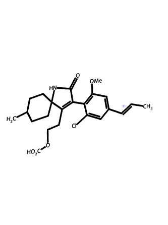 C/C=C/c1cc(Cl)c(C2=C(CCOC(=O)O)C3(CCC(C)CC3)NC2=O)c(OC)c1